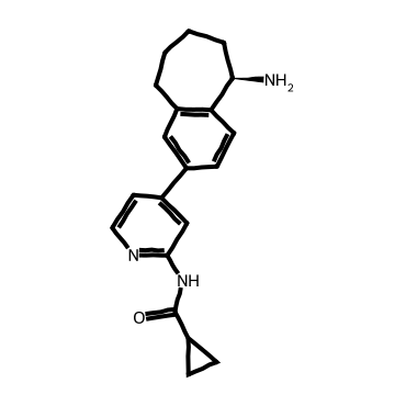 N[C@@H]1CCCCc2cc(-c3ccnc(NC(=O)C4CC4)c3)ccc21